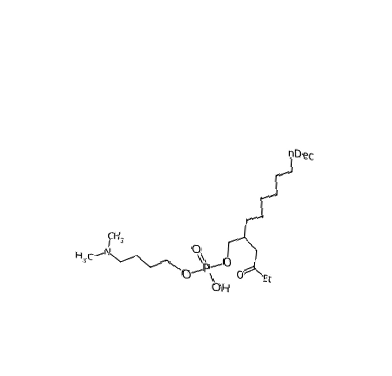 CCCCCCCCCCCCCCCCC(COP(=O)(O)OCCCCN(C)C)CC(=O)CC